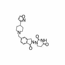 O=C1CCN(N2Cc3cc(CN4CCC(c5ccon5)CC4)ccc3C2=O)C(=O)N1